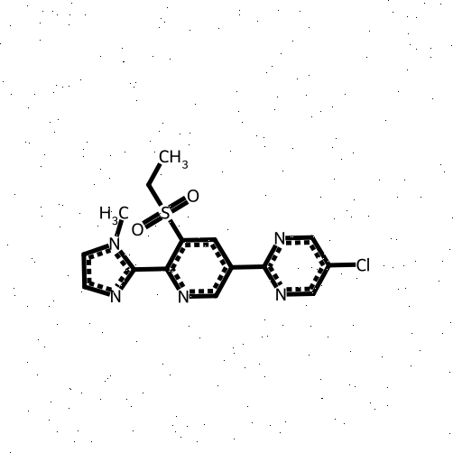 CCS(=O)(=O)c1cc(-c2ncc(Cl)cn2)cnc1-c1nccn1C